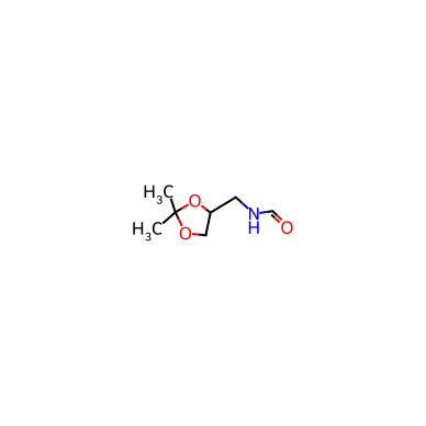 CC1(C)OCC(CNC=O)O1